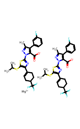 Cc1nn(-c2nc(C3=CCC(C(F)(F)F)CC3)c(SC(C)C)s2)c(C(=O)[O-])c1-c1cccc(F)c1.Cc1nn(-c2nc(C3=CCC(C(F)(F)F)CC3)c(SC(C)C)s2)c(C(=O)[O-])c1-c1cccc(F)c1.[Mg+2]